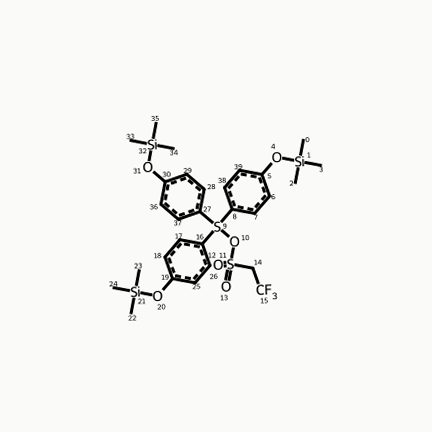 C[Si](C)(C)Oc1ccc(S(OS(=O)(=O)CC(F)(F)F)(c2ccc(O[Si](C)(C)C)cc2)c2ccc(O[Si](C)(C)C)cc2)cc1